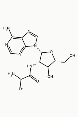 CCC(N)C(=O)N[C@H]1C(O)[C@@H](CO)O[C@H]1n1cnc2c(N)ncnc21